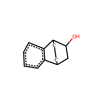 OC1CC2CCC1c1ccccc12